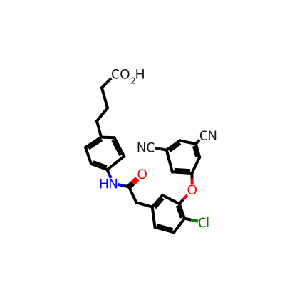 N#Cc1cc(C#N)cc(Oc2cc(CC(=O)Nc3ccc(CCCC(=O)O)cc3)ccc2Cl)c1